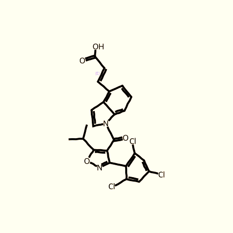 CC(C)c1onc(-c2c(Cl)cc(Cl)cc2Cl)c1C(=O)n1ccc2c(/C=C/C(=O)O)cccc21